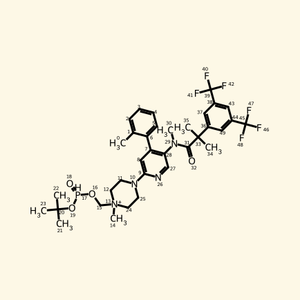 Cc1ccccc1-c1cc(N2CC[N+](C)(CO[PH](=O)OC(C)(C)C)CC2)ncc1N(C)C(=O)C(C)(C)c1cc(C(F)(F)F)cc(C(F)(F)F)c1